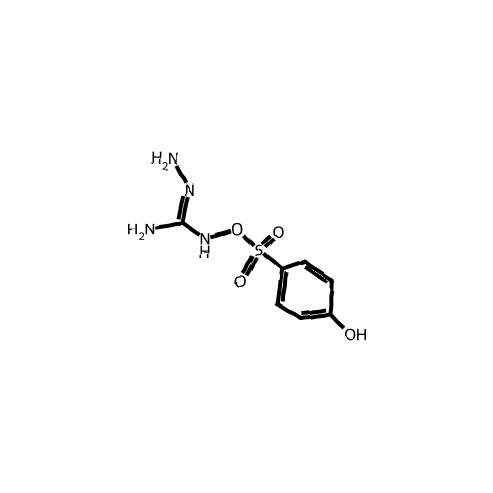 NN=C(N)NOS(=O)(=O)c1ccc(O)cc1